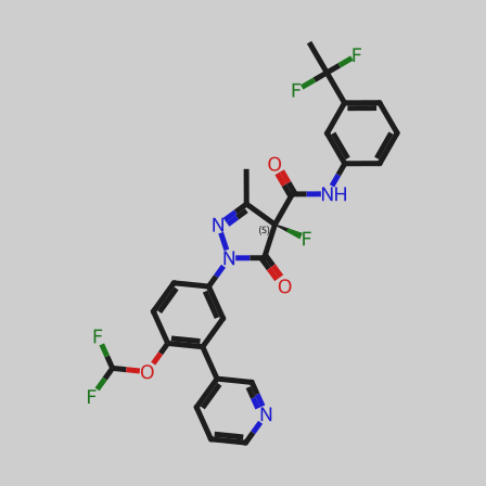 CC1=NN(c2ccc(OC(F)F)c(-c3cccnc3)c2)C(=O)[C@@]1(F)C(=O)Nc1cccc(C(C)(F)F)c1